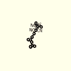 N#Cc1cc(-c2cc(-c3ccccc3C#N)nc(-c3ccccc3C#N)n2)c(C#N)cc1-c1ccc(-c2ccc(-n3c4ccccc4c4cc(-n5c6ccccc6c6ccccc65)ccc43)cc2)cc1